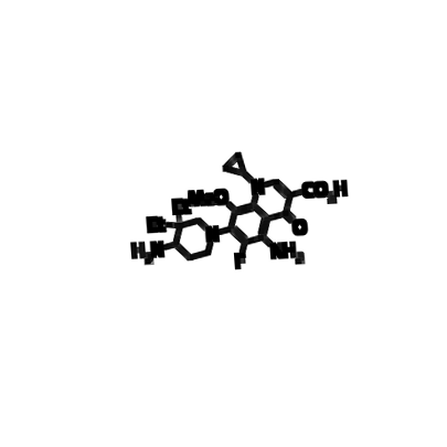 CCC1(CC)CN(c2c(F)c(N)c3c(=O)c(C(=O)O)cn(C4CC4)c3c2OC)CCC1N